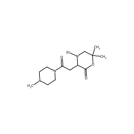 CCN1CC(C)(C)OC(=O)C1CC(=O)N1CCN(C)CC1